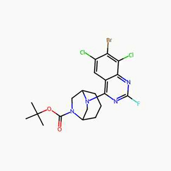 CC(C)(C)OC(=O)N1CC2CCCC1CN2c1nc(F)nc2c(Cl)c(Br)c(Cl)cc12